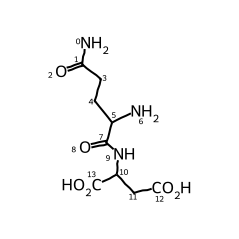 NC(=O)CCC(N)C(=O)NC(CC(=O)O)C(=O)O